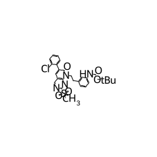 CC(C)(C)OC(=O)Nc1cccc(CCn2c(=O)c(-c3ccccc3Cl)cc3cnc(S(C)(=O)=O)nc32)c1